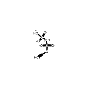 C#COS(=O)(=O)NS(=O)(=O)O